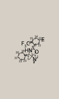 CN(C)C(C)(C)C(NC(=O)c1cc(F)ccc1C(F)(F)F)c1ccccc1